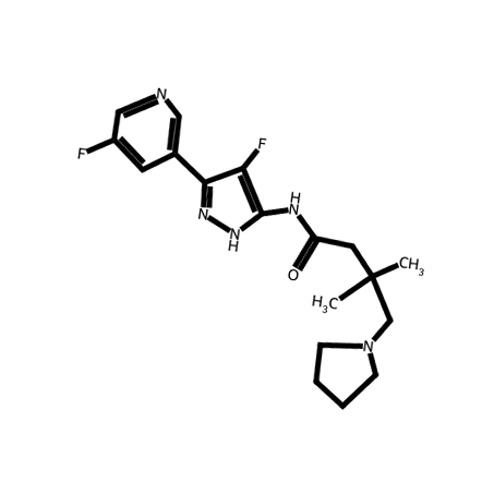 CC(C)(CC(=O)Nc1[nH]nc(-c2cncc(F)c2)c1F)CN1CCCC1